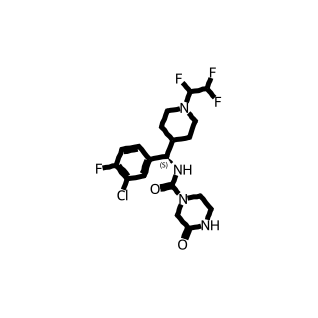 O=C1CN(C(=O)N[C@H](c2ccc(F)c(Cl)c2)C2CCN(C(F)C(F)F)CC2)CCN1